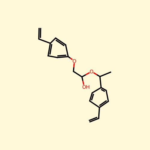 C=Cc1ccc(OCC(O)OC(C)c2ccc(C=C)cc2)cc1